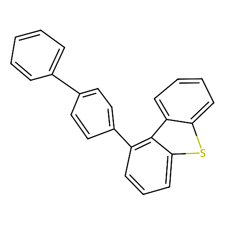 c1ccc(-c2ccc(-c3cccc4sc5ccccc5c34)cc2)cc1